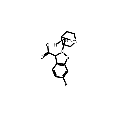 O=C(O)C1c2ccc(Br)cc2SN1[C@H]1CN2CCC1CC2